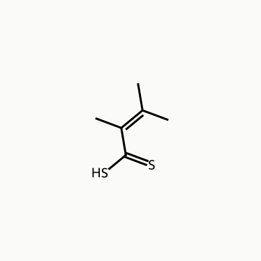 CC(C)=C(C)C(=S)S